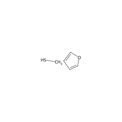 CS.c1ccoc1